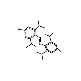 CC(C)c1cc(I)cc(C(C)C)c1/N=N/c1c(C(C)C)cc(I)cc1C(C)C